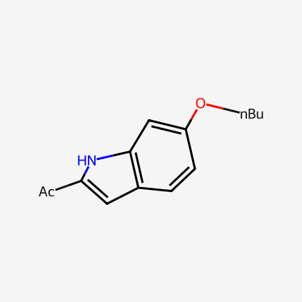 CCCCOc1ccc2cc(C(C)=O)[nH]c2c1